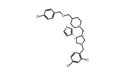 Clc1ccc(COCC2CCN(C[C@H]3CN(Cc4ccc(Cl)cc4Cl)C[C@@H]3c3ccsc3)CC2)cc1